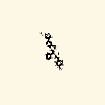 Cn1cc(-c2cnc3c(c2)NC[C@@H]([C@H](NCCc2ccc(Br)cn2)c2ccccc2)O3)cn1